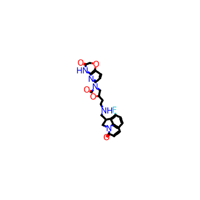 O=C1COc2ccc(N3CC(CCNCC4Cn5c(=O)ccc6ccc(F)c4c65)OC3=O)nc2N1